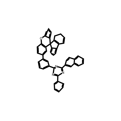 C1=CC2=C(CC1)C1(c3ccccc3Oc3ccc(-c4cccc(-c5nc(-c6ccccc6)nc(-c6ccc7ccccc7c6)n5)c4)cc31)c1ccccc12